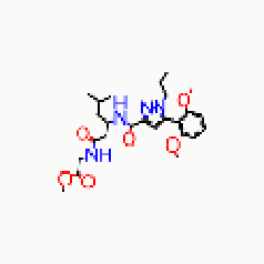 CCCn1nc(C(=O)NC(CC(=O)NCC(=O)OC)CC(C)C)cc1-c1c(OC)cccc1OC